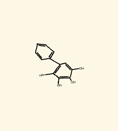 CCCc1c(-c2ccccc2)cc(O)c(O)c1CCC